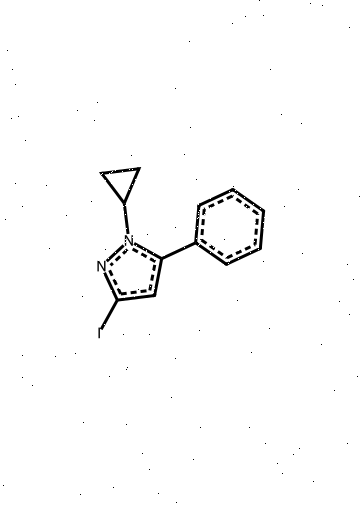 Ic1cc(-c2ccccc2)n(C2CC2)n1